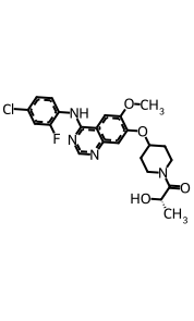 COc1cc2c(Nc3ccc(Cl)cc3F)ncnc2cc1OC1CCN(C(=O)[C@H](C)O)CC1